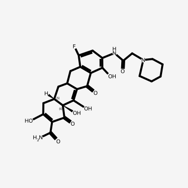 NC(=O)C1=C(O)C[C@@H]2CC3Cc4c(F)cc(NC(=O)CN5CCCCC5)c(O)c4C(=O)C3=C(O)[C@]2(O)C1=O